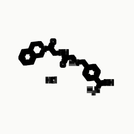 Cl.N=C(N)c1ccc(CNCC(=O)NCC(=O)N2CCc3ccccc3C2)cc1